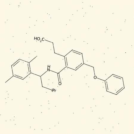 Cc1ccc(C)c(C(CC(C)C)NC(=O)c2cc(COc3ccccc3)ccc2CCC(=O)O)c1